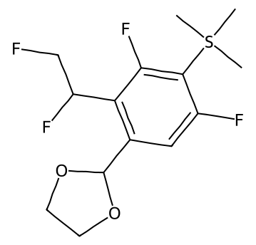 CS(C)(C)c1c(F)cc(C2OCCO2)c(C(F)CF)c1F